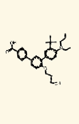 CCCN(CC)c1ccc(-c2cc(-c3ccc(C(=O)O)cc3)ccc2OCCCO)cc1C(C)(C)C